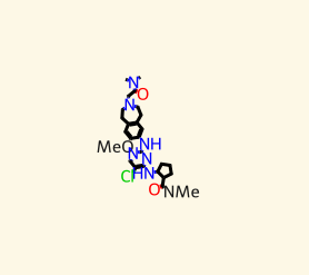 CNC(=O)C1CCCC1Nc1nc(Nc2cc3c(cc2OC)CCN(CC(=O)N(C)C)CC3)ncc1Cl